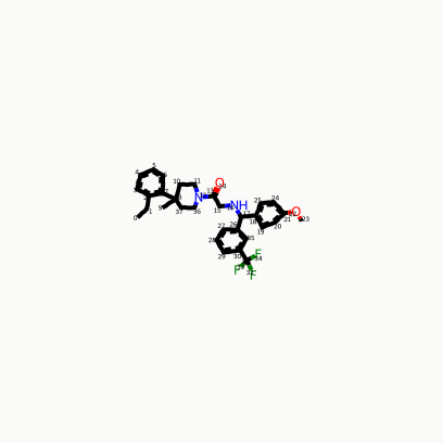 CCc1ccccc1C1(C)CCN(C(=O)CNC(c2ccc(OC)cc2)c2cccc(C(F)(F)F)c2)CC1